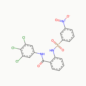 O=C(Nc1cc(Cl)c(Cl)c(Cl)c1)c1ccccc1NS(=O)(=O)c1cccc([N+](=O)[O-])c1